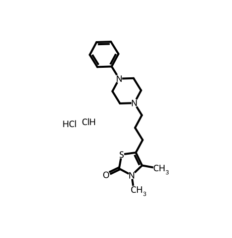 Cc1c(CCCN2CCN(c3ccccc3)CC2)sc(=O)n1C.Cl.Cl